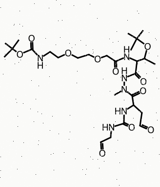 CC(OC(C)(C)C)C(NC(=O)COCCOCCNC(=O)OC(C)(C)C)C(=O)NN(C)C(=O)C(CC=O)NC(=O)NCC=O